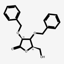 O=C1O[C@H](CO)C(OCc2ccccc2)[C@@H]1OCc1ccccc1